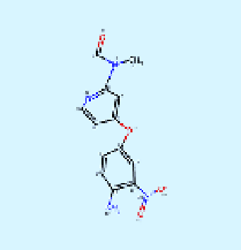 CN(C=O)c1cc(Oc2ccc(N)c([N+](=O)[O-])c2)ccn1